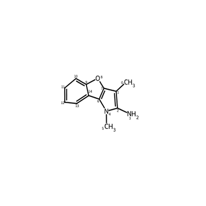 Cc1c(N)n(C)c2c1oc1ccccc12